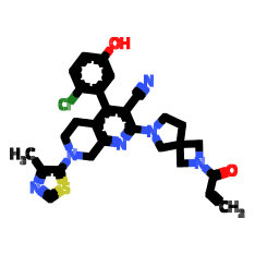 C=CC(=O)N1CC2(CCN(c3nc4c(c(-c5cc(O)ccc5Cl)c3C#N)CCN(c3scnc3C)C4)C2)C1